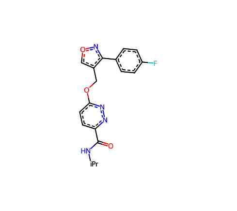 CC(C)NC(=O)c1ccc(OCc2conc2-c2ccc(F)cc2)nn1